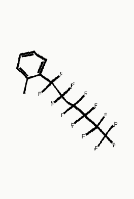 [CH2]c1ccccc1C(F)(F)C(F)(F)C(F)(F)C(F)(F)C(F)(F)C(F)(F)F